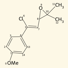 COc1ccc(C(Cl)=CC2OC2(C)C)cc1